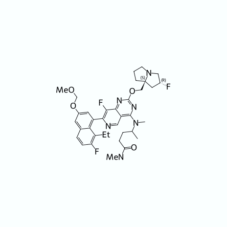 CCc1c(F)ccc2cc(OCOC)cc(-c3ncc4c(N(C)C(C)CCC(=O)NC)nc(OC[C@@]56CCCN5C[C@H](F)C6)nc4c3F)c12